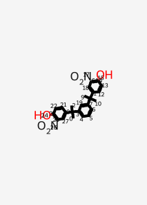 CC(C)(c1cccc(C(C)(C)c2ccc(O)c([N+](=O)[O-])c2)c1)c1ccc(O)c([N+](=O)[O-])c1